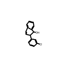 OC1c2ccccc2C=CC1c1cccc(Cl)c1